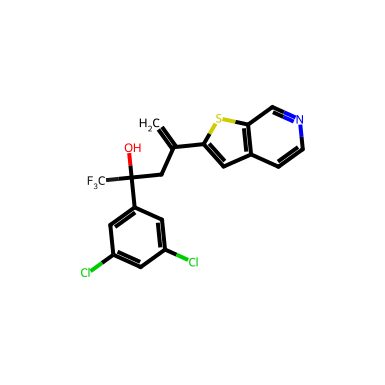 C=C(CC(O)(c1cc(Cl)cc(Cl)c1)C(F)(F)F)c1cc2ccncc2s1